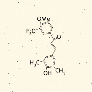 COc1ccc(C(=O)C=Cc2cc(C)c(O)c(C)c2)cc1C(F)(F)F